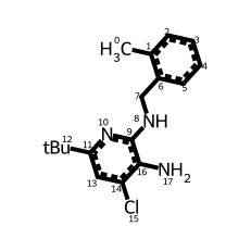 Cc1ccccc1CNc1nc(C(C)(C)C)cc(Cl)c1N